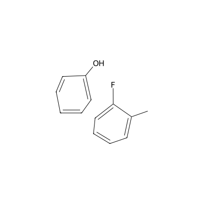 Cc1ccccc1F.Oc1ccccc1